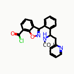 O=C(O)NC(Cc1ccccn1)c1ccccc1-c1noc2c(C(=O)Cl)cccc12